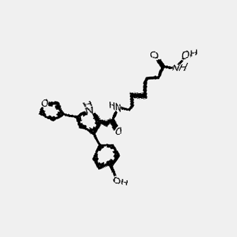 O=C(CCCCCNC(=O)c1[nH]c(-c2ccoc2)cc1-c1ccc(O)cc1)NO